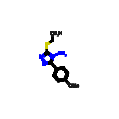 COc1ccc(-c2nnc(SCC(=O)O)n2N)cc1